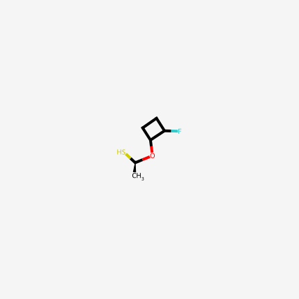 C[C@@H](S)OC1CCC1F